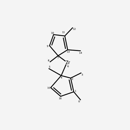 CC1=C(C)[C](C)([Zr][C]2(C)C=CC(C)=C2C)C=C1